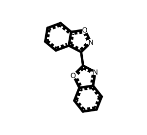 c1ccc2oc(-c3noc4ccccc34)nc2c1